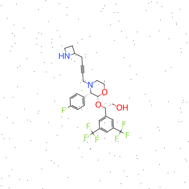 OC[C@@H](O[C@H]1OCCN(CC#CCC2CCN2)[C@H]1c1ccc(F)cc1)c1cc(C(F)(F)F)cc(C(F)(F)F)c1